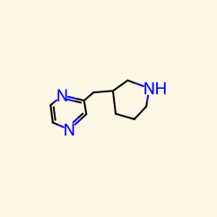 c1cnc(CC2CCCNC2)cn1